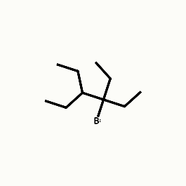 [B]C(CC)(CC)C(CC)CC